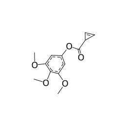 COc1cc(OC(=O)C2C=C2)cc(OC)c1OC